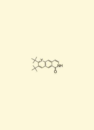 CC(C)(C)C1=Cc2cc3c(=O)[nH]ccc3c[c]2[Y]=[C]1C(C)(C)C